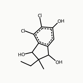 CCC1(C)C(O)c2cc(O)c(Cl)c(Cl)c2C1O